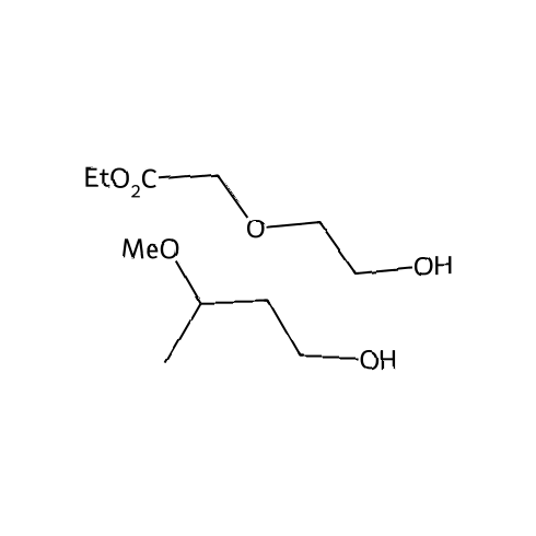 CCOC(=O)COCCO.COC(C)CCO